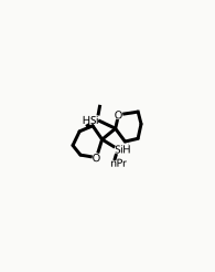 CCC[SiH](C)C1(C2([SiH](C)C)CCCCO2)CCCCO1